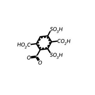 O=C(O)c1cc(S(=O)(=O)O)c(C(=O)O)c(S(=O)(=O)O)c1I(=O)=O